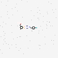 Cc1cc(CC(=O)O)cc(S(=O)(=O)N2CCN(CCc3ccc(C(F)(F)F)cc3)CC2)c1